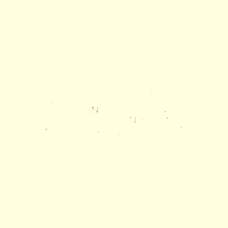 CC1CN(CC(C)(C)C)C(C)CN1CC(C)(C)C